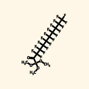 CO[Si](OC)(OC)C(=O)C(F)(F)C(F)(F)C(F)(F)C(F)(F)C(F)(F)C(F)(F)C(F)(F)C(F)(F)C(F)(F)F